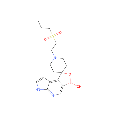 CCCS(=O)(=O)CCN1CCC2(CC1)OB(O)c1cnc3[nH]ccc3c12